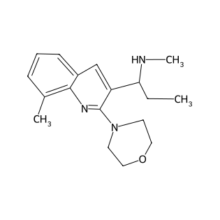 CCC(NC)c1cc2cccc(C)c2nc1N1CCOCC1